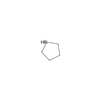 C1C[CH2][BiH][CH2]1